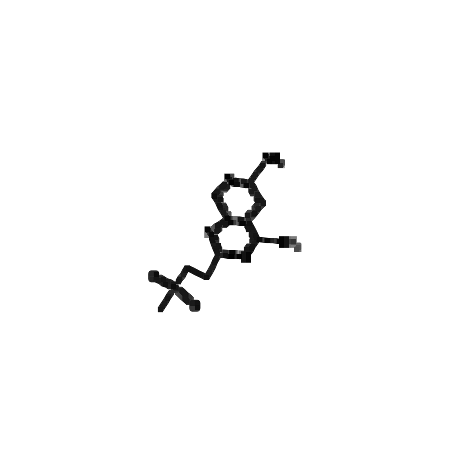 CS(=O)(=O)CCc1nc(N)c2cc(N)ncc2n1